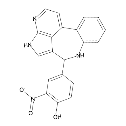 O=[N+]([O-])c1cc(C2Nc3ccccc3-c3ccnc4[nH]cc2c34)ccc1O